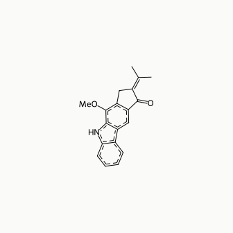 COc1c2c(cc3c1[nH]c1ccccc13)C(=O)C(=C(C)C)C2